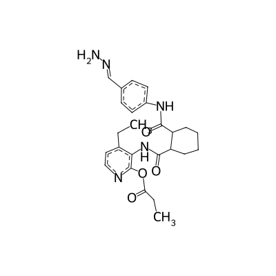 CCC(=O)Oc1nccc(CC)c1NC(=O)C1CCCCC1C(=O)Nc1ccc(C=NN)cc1